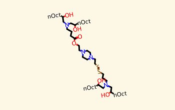 CCCCCCCCC(O)CN(CCCSSCCN1CCN(CCOC(=O)CCCN(CC(O)CCCCCCCC)CC(O)CCCCCCCC)CC1)CC(O)CCCCCCCC